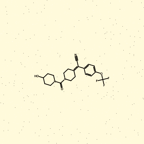 N#CC(=C1CCN(C(=O)N2CCC(O)CC2)CC1)c1ccc(OC(F)(F)F)cc1